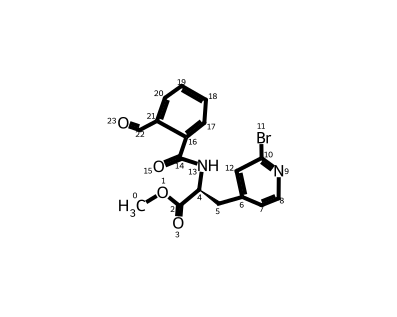 COC(=O)[C@H](Cc1ccnc(Br)c1)NC(=O)c1ccccc1C=O